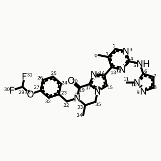 Cc1cnc(Nc2ccnn2C)nc1-c1cn2c(n1)C(=O)N(Cc1cccc(OC(F)F)c1)C(C)C2